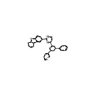 c1ccc(-c2cc(-c3ccccc3)cc(-c3ccnc(-c4ccc5sc6ccccc6c5c4)n3)c2)cc1